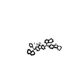 CC1(C)c2cc(N(c3ccccc3)c3cccc4ccccc34)ccc2-c2ccc(N(c3ccc4c5c(sc4c3)C=CCC5)c3cccc4ccccc34)cc21